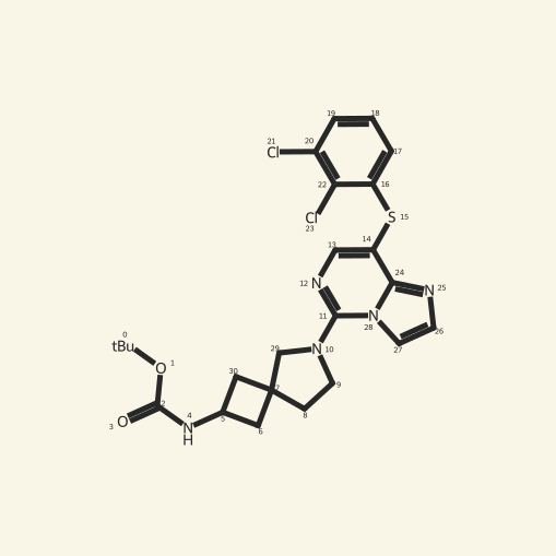 CC(C)(C)OC(=O)NC1CC2(CCN(c3ncc(Sc4cccc(Cl)c4Cl)c4nccn34)C2)C1